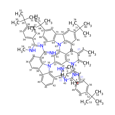 C=C(/C=C\C)N1C(=C)/C(=C\C)B2c3c1cc(-n1c4c(C(=N)/N=C(\NC)c5ccc(C(C)(C)C)cc5)cccc4c4cccc(/C(=N/C(=N)c5ccc(C(C)(C)C)cc5)NC)c41)cc3-n1c3ccc(C(C)(C)C)cc3c3cc(C(C)(C)C)cc2c31